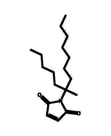 CCCCCCCC(C)(CCCCC)N1C(=O)C=CC1=O